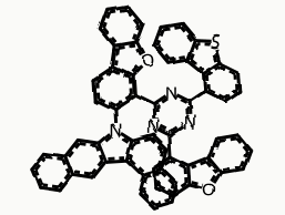 c1ccc2cc3c(cc2c1)c1c2ccccc2ccc1n3-c1ccc2c(oc3ccccc32)c1-c1nc(-c2cccc3oc4ccccc4c23)nc(-c2cccc3sc4ccccc4c23)n1